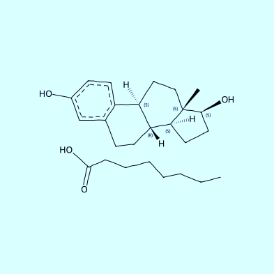 CCCCCCCC(=O)O.C[C@]12CC[C@@H]3c4ccc(O)cc4CC[C@H]3[C@@H]1CC[C@@H]2O